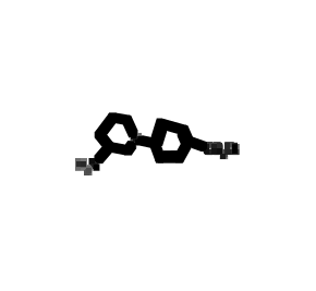 CCOC(=O)c1ccc(N2CCCC(N)C2)cc1